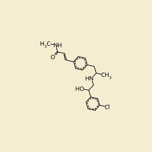 CNC(=O)C=Cc1ccc(CC(C)NCC(O)c2cccc(Cl)c2)cc1